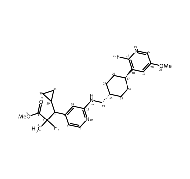 COC(=O)C(C)(F)C(c1ccnc(NC[C@H]2CC[C@H](c3cc(OC)cnc3F)CC2)c1)C1CC1